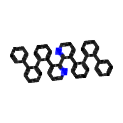 c1ccc(-c2ccccc2-c2ccccc2-c2cccnc2-c2ncccc2-c2ccccc2-c2ccccc2-c2ccccc2)cc1